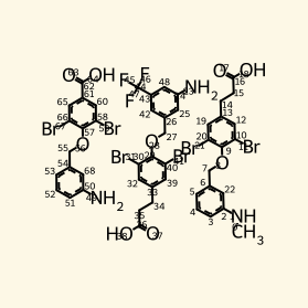 CNc1cccc(COc2c(Br)cc(CCC(=O)O)cc2Br)c1.Nc1cc(COc2c(Br)cc(CCC(=O)O)cc2Br)cc(C(F)(F)F)c1.Nc1cccc(COc2c(Br)cc(C(=O)O)cc2Br)c1